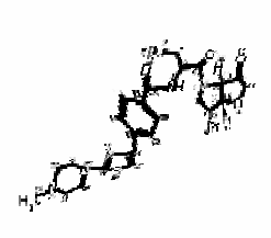 CC(C)[C@@H]1CN(C(=O)C(CC(C)(C)C)NC(=O)c2ccc(-c3csc(N4CCN(C)CC4)n3)cc2)[C@@H]2C(=O)CO[C@@H]21